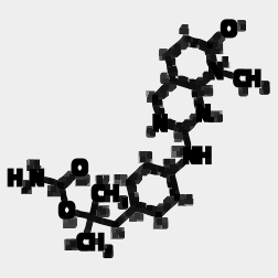 Cn1c(=O)ccc2cnc(Nc3ccc(CC(C)(C)OC(N)=O)cc3)nc21